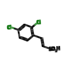 O=S(=O)(O)C=Cc1ccc(Cl)cc1Cl